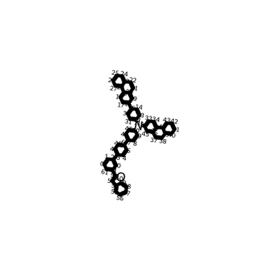 c1cc(-c2ccc(-c3ccc(N(c4ccc(-c5ccc6c(ccc7ccccc76)c5)cc4)c4ccc5c(ccc6ccccc65)c4)cc3)cc2)cc(-c2cc3ccccc3o2)c1